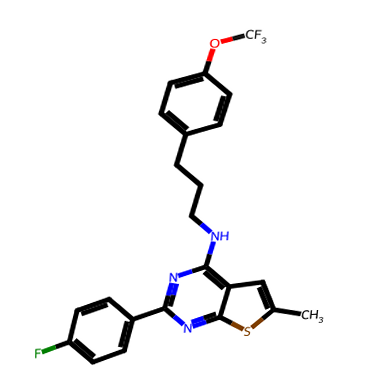 Cc1cc2c(NCCCc3ccc(OC(F)(F)F)cc3)nc(-c3ccc(F)cc3)nc2s1